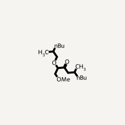 CCCCC(C)COC(COC)C(=O)CC(C)CCCC